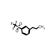 CCCc1cc[c]c(S(=O)(=O)C(F)(F)F)c1